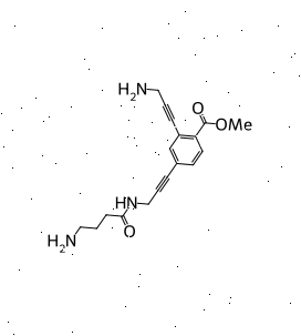 COC(=O)c1ccc(C#CCNC(=O)CCCN)cc1C#CCN